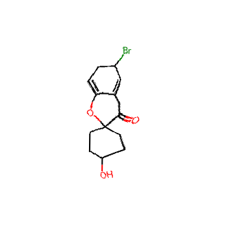 O=C1C2=CC(Br)CC=C2OC12CCC(O)CC2